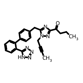 CC#CCn1nc(C(=O)CCC)nc1Cc1ccc(-c2ccccc2-c2nnn[nH]2)cc1